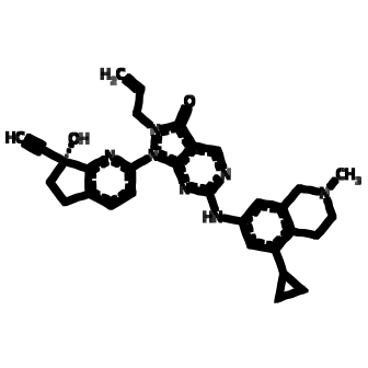 C#C[C@]1(O)CCc2ccc(-n3c4nc(Nc5cc6c(c(C7CC7)c5)CCN(C)C6)ncc4c(=O)n3CC=C)nc21